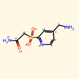 NCc1ccnc(S(=O)(=O)CC(N)=O)c1